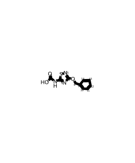 O=C(O)Nc1nc(OCc2ccccc2)ns1